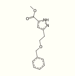 COC(=O)c1cc(CCOCc2ccccc2)n[nH]1